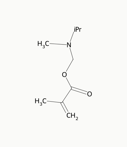 C=C(C)C(=O)OCN(C)C(C)C